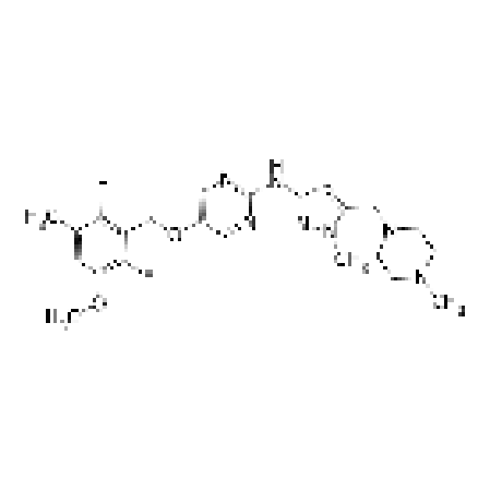 COc1cc(C)c(F)c(COc2cnc(Nc3cc(CN4CCN(C)CC4)n(C)n3)nc2)c1F